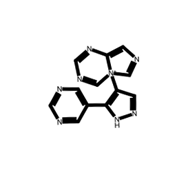 C1=NC=NC2=CN=C[N+]12c1cn[nH]c1-c1cncnc1